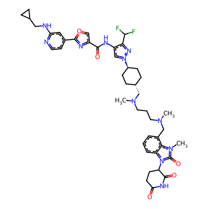 CN(CCCN(C)C[C@H]1CC[C@H](n2cc(NC(=O)c3coc(-c4ccnc(NCC5CC5)c4)n3)c(C(F)F)n2)CC1)Cc1cccc2c1n(C)c(=O)n2C1CCC(=O)NC1=O